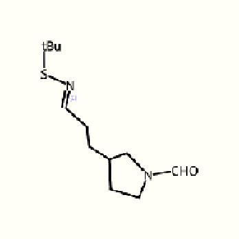 CC(C)(C)S/N=C/CCC1CCN(C=O)C1